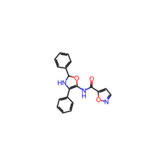 O=C(NC1=C(c2ccccc2)NC(c2ccccc2)O1)c1ccno1